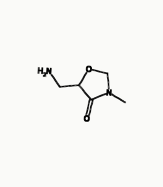 CN1COC(CN)C1=O